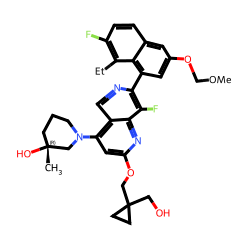 CCc1c(F)ccc2cc(OCOC)cc(-c3ncc4c(N5CCC[C@@](C)(O)C5)cc(OCC5(CO)CC5)nc4c3F)c12